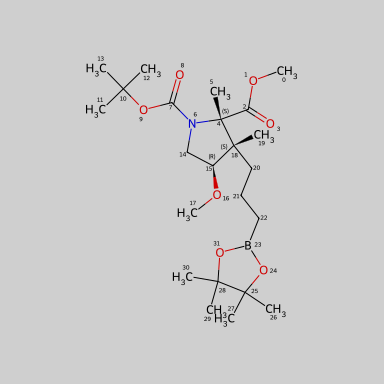 COC(=O)[C@@]1(C)N(C(=O)OC(C)(C)C)C[C@H](OC)[C@@]1(C)CCCB1OC(C)(C)C(C)(C)O1